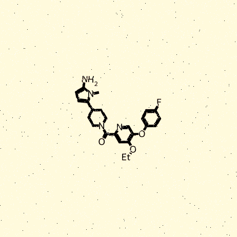 CCOc1cc(C(=O)N2CCC(c3ccc(N)n3C)CC2)ncc1Oc1ccc(F)cc1